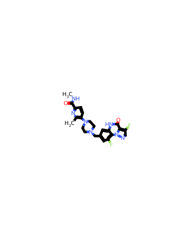 CNC(=O)c1ccc(N2CCN(Cc3cc(F)c4c(c3)[nH]c(=O)c3c(F)cnn34)CC2)c(C)n1